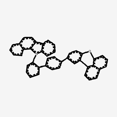 c1ccc(-n2c3ccccc3c3ccc4ccccc4c32)c(-c2ccc(-c3ccc4c(c3)-c3cccc5cccc(c35)O4)cc2)c1